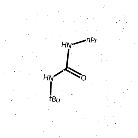 [CH2]C(C)(C)NC(=O)NCCC